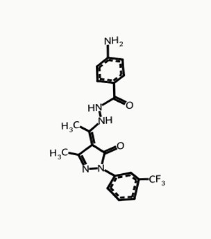 CC1=NN(c2cccc(C(F)(F)F)c2)C(=O)/C1=C(/C)NNC(=O)c1ccc(N)cc1